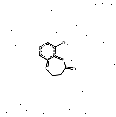 Cc1cccc2c1=NC(=O)CCN=2